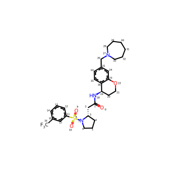 O=C(C[C@@H]1CCCN1S(=O)(=O)c1cccc(C(F)(F)F)c1)N[C@@H]1CCOc2cc(CN3CCCCCC3)ccc21